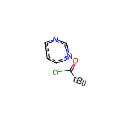 CC(C)(C)C(=O)Cl.c1cncnc1